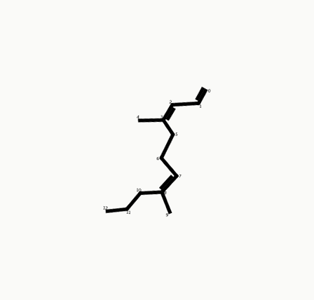 C=CC=C(C)CCC=C(C)CCC